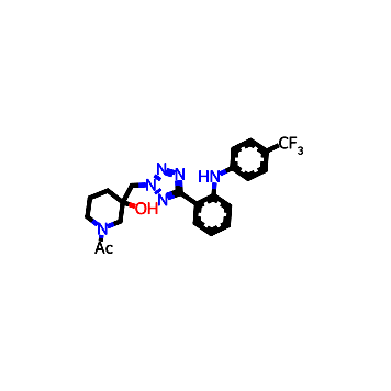 CC(=O)N1CCCC(O)(Cn2nnc(-c3ccccc3Nc3ccc(C(F)(F)F)cc3)n2)C1